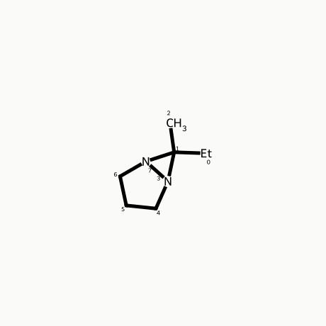 CCC1(C)N2CCCN21